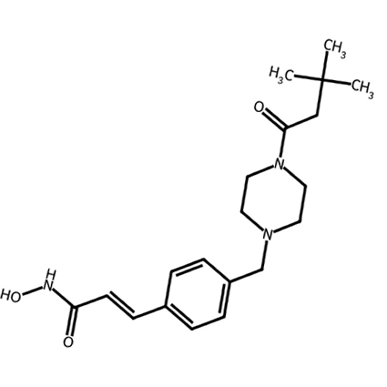 CC(C)(C)CC(=O)N1CCN(Cc2ccc(C=CC(=O)NO)cc2)CC1